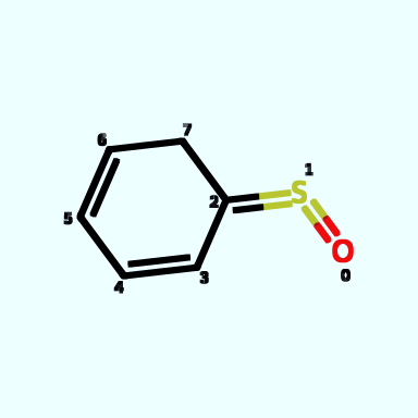 O=S=C1C=CC=CC1